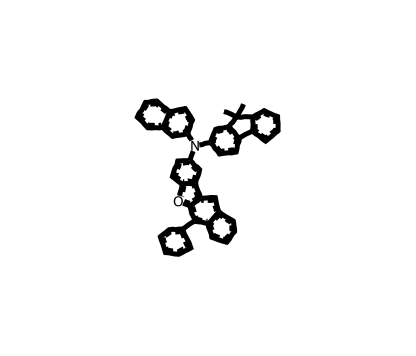 CC1(C)c2ccccc2-c2ccc(N(c3ccc4ccccc4c3)c3ccc4oc5c(-c6ccccc6)c6ccccc6cc5c4c3)cc21